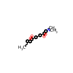 CCCCc1cccc2c1ccc1cc(-c3ccc(-c4ccc(-c5cc6ccc(N(CC)CC)cc6oc5=O)cc4)cc3)c(=O)oc12